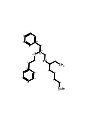 CNCCCCC(CN)NC[C@H](Cc1ccccc1)NCCc1ccccc1